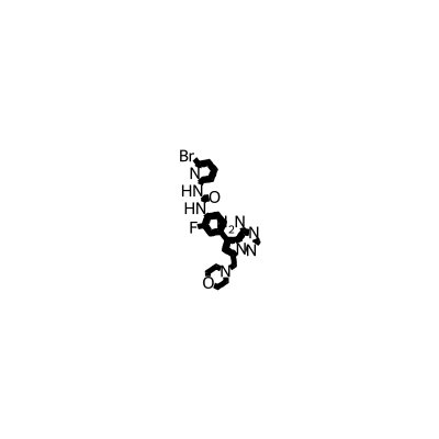 Nc1ncnn2c(CN3CCOCC3)cc(-c3ccc(NC(=O)Nc4cccc(Br)n4)c(F)c3)c12